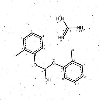 Cc1ccccc1OB(O)Oc1ccccc1C.N=C(N)N